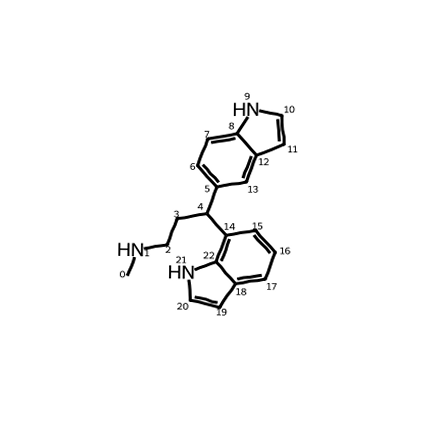 CNCCC(c1ccc2[nH]ccc2c1)c1cccc2cc[nH]c12